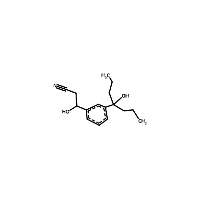 CCCC(O)(CCC)c1cccc(C(O)CC#N)c1